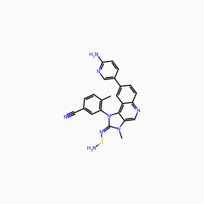 Cc1ccc(C#N)cc1-n1/c(=N/SN)n(C)c2cnc3ccc(-c4ccc(N)nc4)cc3c21